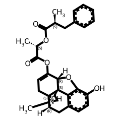 C[C@H](OC(=O)[C@@H](C)Cc1ccccc1)C(=O)OC1=CC[C@@]2(O)[C@H]3Cc4ccc(O)c5c4[C@@]2(CCN3C)[C@H]1O5